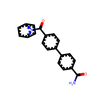 NC(=O)c1ccc(-c2ccc(C(=O)n3c4ccc3cc4)cc2)cc1